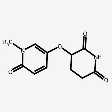 Cn1cc(OC2CCC(=O)NC2=O)ccc1=O